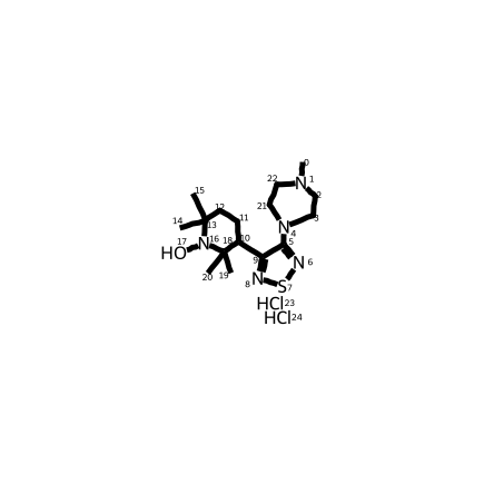 CN1CCN(c2nsnc2C2CCC(C)(C)N(O)C2(C)C)CC1.Cl.Cl